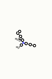 Cc1ccc(N(c2ccc(-c3ccc(-c4ccccc4)cc3)cc2)c2ccc3c(c2)C(C)(C)c2cc(-c4cccc5ccccc45)ccc2-3)cc1